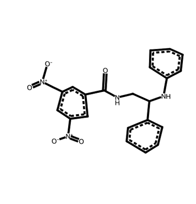 O=C(NCC(Nc1ccccc1)c1ccccc1)c1cc([N+](=O)[O-])cc([N+](=O)[O-])c1